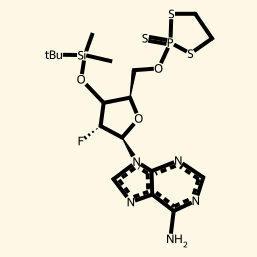 CC(C)(C)[Si](C)(C)OC1[C@@H](F)[C@H](n2cnc3c(N)ncnc32)O[C@@H]1COP1(=S)SCCS1